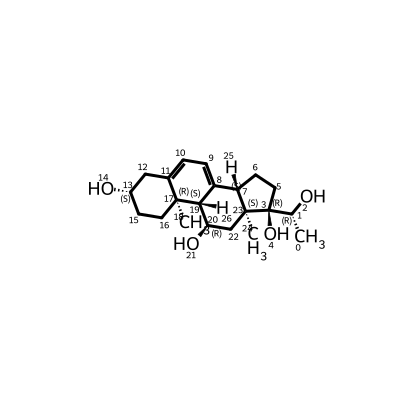 C[C@@H](O)[C@@]1(O)CC[C@H]2C3=CC=C4C[C@@H](O)CC[C@]4(C)[C@H]3[C@H](O)C[C@@]21C